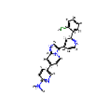 CN(C)c1ccc(-c2ccn3c(-c4ccnc(-c5ccccc5F)c4)cnc3c2)cn1